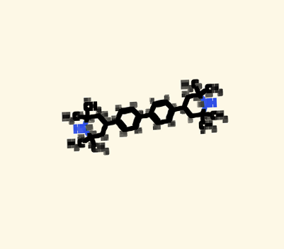 CC1(C)CC(c2ccc(-c3ccc(C4CC(C)(C)NC(C)(C)C4)cc3)cc2)CC(C)(C)N1